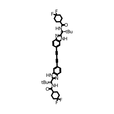 CC(C)(C)[C@H](NC(=O)C1CCC(F)(F)CC1)c1nc2ccc(C#CC#Cc3ccc4nc([C@@H](NC(=O)C5CCC(F)(F)CC5)C(C)(C)C)[nH]c4c3)cc2[nH]1